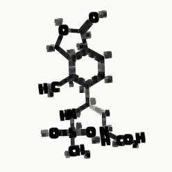 Cc1c([C@H](CNC(=O)O)NS(C)(=O)=O)ccc2c1COC2=O